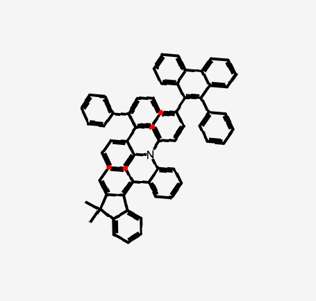 CC1(C)c2ccccc2-c2c(-c3ccccc3N(c3ccc(-c4c(-c5ccccc5)c5ccccc5c5ccccc45)cc3)c3ccccc3-c3ccccc3-c3ccccc3)cccc21